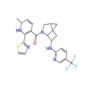 CC1C=CC(C(=O)N2CC3CC34CC(Nc3ccc(C(F)(F)F)cn3)C24)=C(c2nccs2)N1